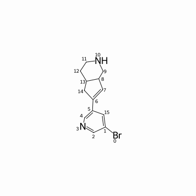 Brc1cncc(C2=CC3CNCCC3C2)c1